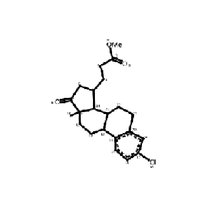 COC(=O)CCC1CC(=O)C2(C)CCC3c4ccc(Cl)cc4CCC3C12